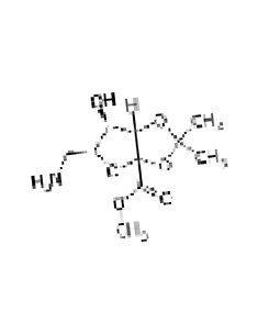 COC(=O)[C@@]12O[C@@H](CN)[C@@H](O)[C@@H]1OC(C)(C)O2